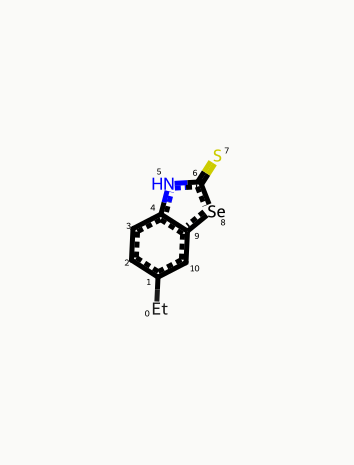 CCc1ccc2[nH]c(=S)[se]c2c1